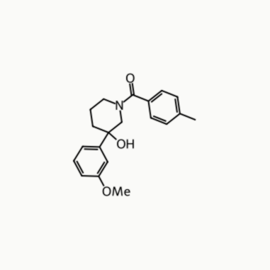 COc1cccc(C2(O)CCCN(C(=O)c3ccc(C)cc3)C2)c1